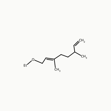 C=CC(C)CC/C(C)=C/COCC